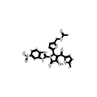 CC(=O)OCc1ccc(C2C(C(=O)c3ccc(C)o3)=C(O)C(=O)N2c2nc3ccc([N+](=O)[O-])cc3s2)o1